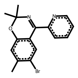 Cc1cc2c(cc1Br)C(c1ccccn1)=NC(C)(C)O2